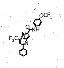 O=C(Nc1ccc(OC(F)(F)F)cc1)c1cc2nc(-c3ccccc3)cc(C(F)(F)F)n2n1